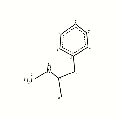 CC(Cc1ccccc1)NP